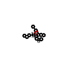 C1=CC2Oc3ccccc3C2C(n2c3ccccc3c3cc4ccccc4cc32)=C1c1nc(-c2cccc(-c3ccccc3)c2)nc(-c2ccc3c(ccc4ccccc43)c2)n1